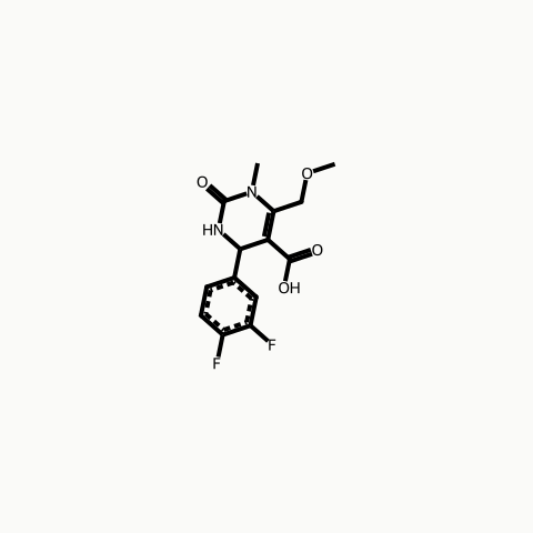 COCC1=C(C(=O)O)C(c2ccc(F)c(F)c2)NC(=O)N1C